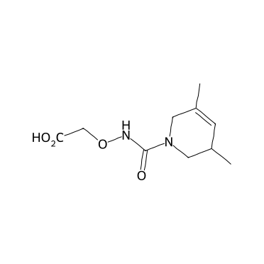 CC1=CC(C)CN(C(=O)NOCC(=O)O)C1